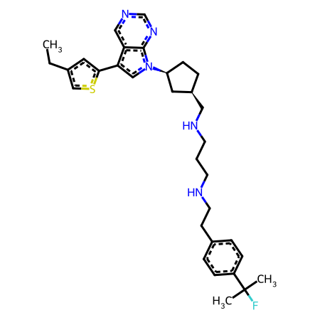 CCc1csc(-c2cn([C@H]3CC[C@@H](CNCCCNCCc4ccc(C(C)(C)F)cc4)C3)c3ncncc23)c1